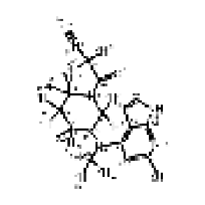 [2H]c1nc(N([C@H]2C([2H])([2H])N(C(=O)C([2H])([2H])[N+]#[C-])C([2H])([2H])C([2H])([2H])[C@@]2([2H])C)C([2H])([2H])[2H])c2cc[nH]c2n1